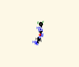 Fc1cc(F)cc(CNc2ncc(-c3nnc(N4C[C@@H]5C(c6cnn[nH]6)[C@@H]5C4)o3)cn2)c1